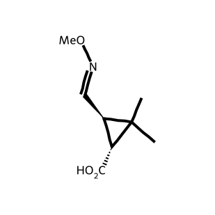 CO/N=C/[C@@H]1[C@@H](C(=O)O)C1(C)C